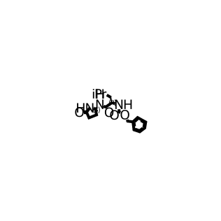 CC(C)C[C@@H](NC(=O)OCc1ccccc1)C(=O)N[C@H]1CCC(=O)N1